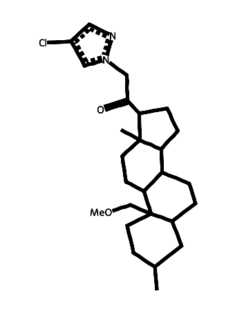 COCC12CCC(C)CC1CCC1C3CCC(C(=O)Cn4cc(Cl)cn4)C3(C)CCC12